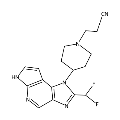 N#CCCN1CCC(n2c(C(F)F)nc3cnc4[nH]ccc4c32)CC1